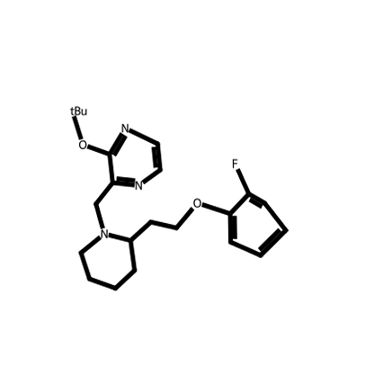 CC(C)(C)Oc1nccnc1CN1CCCCC1CCOc1ccccc1F